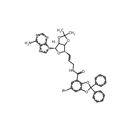 CC(C)c1cc2c(c(C(=O)NC/C=C/[C@H]3O[C@@H](n4cnc5c(N)ncnc54)[C@H]4OC(C)(C)OC34)c1)OC(c1ccccc1)(c1ccccc1)O2